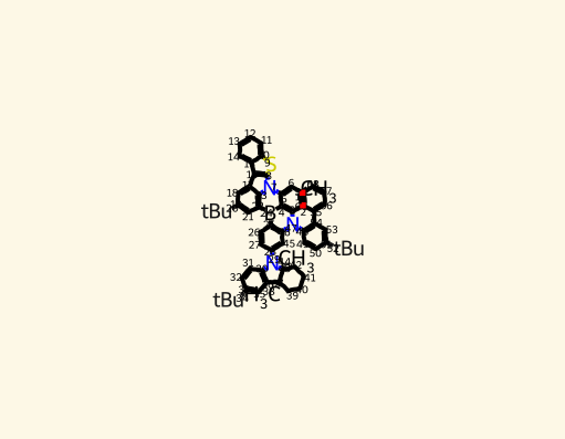 Cc1cc2c3c(c1)-n1c4sc5ccccc5c4c4cc(C(C)(C)C)cc(c41)B3c1ccc(N3c4ccc(C(C)(C)C)cc4C4(C)CCCCC34C)cc1N2c1ccc(C(C)(C)C)cc1-c1ccccc1